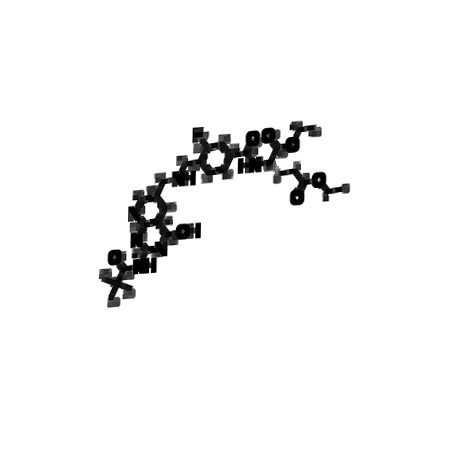 CCOC(=O)CC[C@H](NC(=O)c1ccc(CNCc2cnc3nc(NC(=O)C(C)(C)C)nc(O)c3c2)c(F)c1)C(=O)OCC